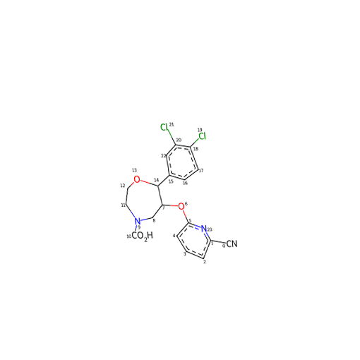 N#Cc1cccc(OC2CN(C(=O)O)CCOC2c2ccc(Cl)c(Cl)c2)n1